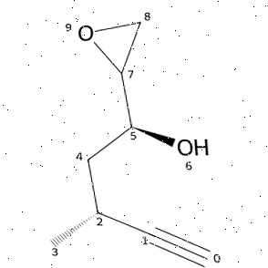 C#C[C@H](C)C[C@H](O)C1CO1